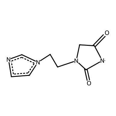 O=C1CN(CCn2ccnc2)C(=O)[N]1